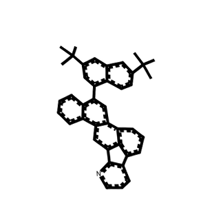 CC(C)(C)c1ccc2c(-c3cc4c5cccc6c5c(cc4c4ccccc34)-c3ncccc3-6)cc(C(C)(C)C)cc2c1